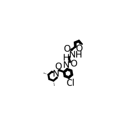 C[C@@H]1C[C@H](C)CN(C(=O)c2cc(Cl)ccc2NC(=O)CNC(=O)c2ccco2)C1